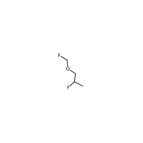 [CH2]C(F)COCF